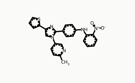 Cc1ccc(-n2cc(-c3cccs3)nc2-c2ccc(Nc3ccccc3[N+](=O)[O-])cc2)cn1